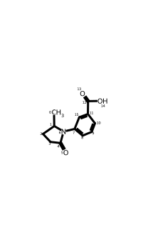 CC1CCC(=O)N1c1cccc(C(=O)O)c1